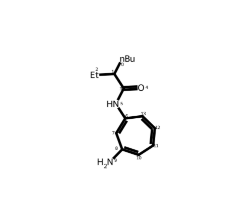 CCCCC(CC)C(=O)NC1=CC(N)=CC=C=C1